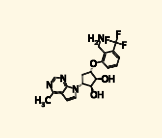 Cc1ncnc2c1ccn2[C@@H]1C[C@H](Oc2cccc(C(F)(F)F)c2CN)[C@@H](O)[C@H]1O